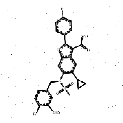 CNC(=O)c1c(-c2ccc(F)cc2)oc2cc(N(Cc3ccc(Br)c(C=O)c3)S(C)(=O)=O)c(C3CC3)cc12